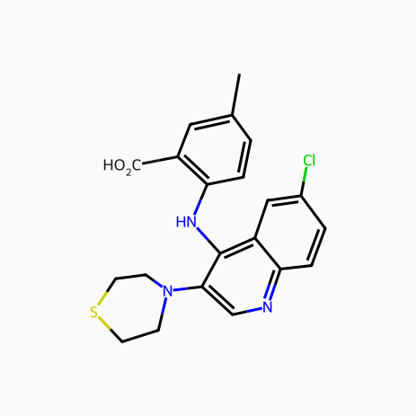 Cc1ccc(Nc2c(N3CCSCC3)cnc3ccc(Cl)cc23)c(C(=O)O)c1